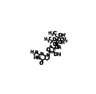 CCC(C)(O)P(=O)(O)OC(C)(C)C[C@H]1O[C@@H](n2ccc3c(=O)[nH]c(N)nc32)[C@H](O)[C@@H]1O